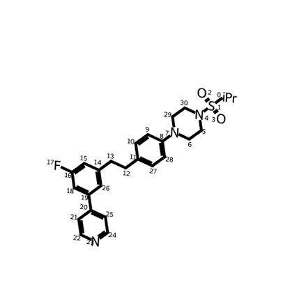 CC(C)S(=O)(=O)N1CCN(c2ccc(CCc3cc(F)cc(-c4ccncc4)c3)cc2)CC1